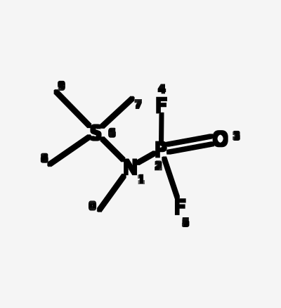 CN(P(=O)(F)F)S(C)(C)C